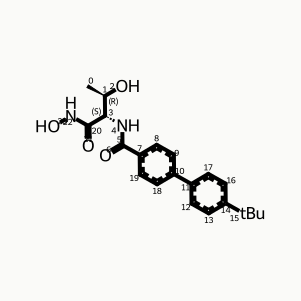 C[C@@H](O)[C@H](NC(=O)c1ccc(-c2ccc(C(C)(C)C)cc2)cc1)C(=O)NO